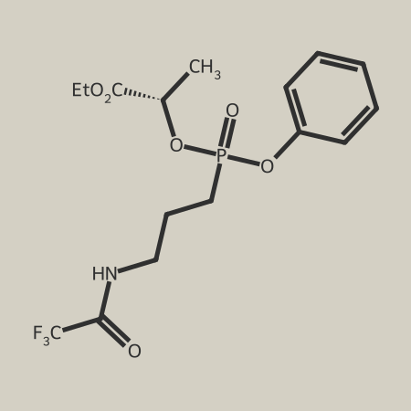 CCOC(=O)[C@H](C)OP(=O)(CCCNC(=O)C(F)(F)F)Oc1ccccc1